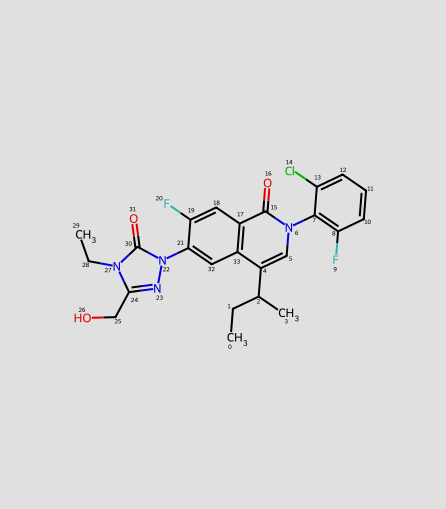 CCC(C)c1cn(-c2c(F)cccc2Cl)c(=O)c2cc(F)c(-n3nc(CO)n(CC)c3=O)cc12